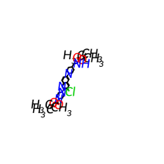 CC(C)(C)OC(=O)NCC1CCN(c2ccc3nc(N4CCN(C(=O)OC(C)(C)C)CC4)c(Cl)cc3c2)CC1